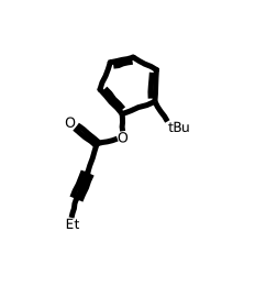 CCC#CC(=O)Oc1ccccc1C(C)(C)C